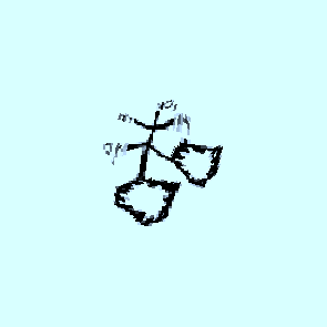 CCCC(CCC)([N+](=O)[O-])C(c1ccccc1)(c1ccccc1)[N+](=O)[O-]